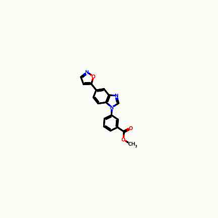 COC(=O)c1cccc(-n2cnc3cc(-c4ccno4)ccc32)c1